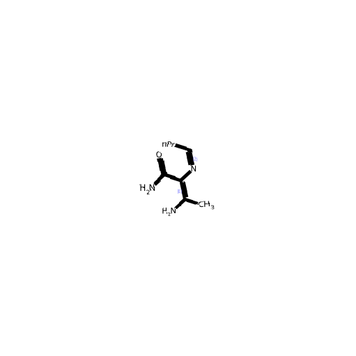 CCC/C=N\C(C(N)=O)=C(/C)N